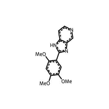 COc1cc(OC)c(-c2nc3cnccc3[nH]2)cc1OC